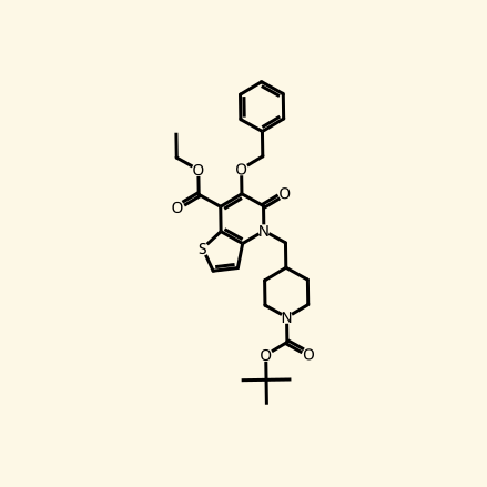 CCOC(=O)c1c(OCc2ccccc2)c(=O)n(CC2CCN(C(=O)OC(C)(C)C)CC2)c2ccsc12